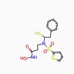 O=C(CCN(C(S)Cc1ccccc1)S(=O)(=O)c1cccs1)NO